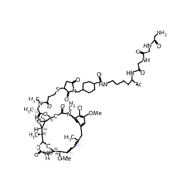 COc1cc2cc(c1Cl)N(C)C(=O)C[C@H](OC(=O)[C@H](C)N(C)C(=O)CCSC1CC(=O)N(CC3CCC(C(=O)NCCCCC(NC(=O)CNC(=O)CNC(=O)CN)C(C)=O)CC3)C1=O)[C@]1(C)O[C@H]1[C@H](C)C1C[C@@](O)(NC(=O)O1)[C@H](OC)/C=C/C=C(\C)C2